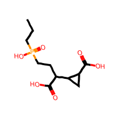 CCCP(=O)(O)CCC(C(=O)O)C1CC1C(=O)O